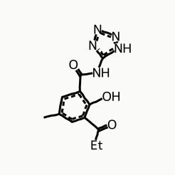 CCC(=O)c1cc(C)cc(C(=O)Nc2nnn[nH]2)c1O